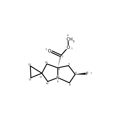 COC(=O)[C@]12C[C@@H](F)CN1CC1(CC1)C2